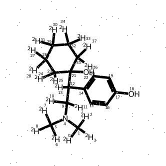 [2H]C([2H])([2H])N(C([2H])([2H])[2H])C([2H])([2H])C([2H])(c1ccc(O)cc1)C1(O)C([2H])([2H])C([2H])([2H])C([2H])([2H])C([2H])([2H])C1([2H])[2H]